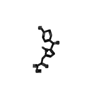 Cn1c(CC(=O)NO)ccc1C(=O)c1ccc(Cl)cc1